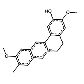 COc1cc2cc3[n+](cc2cc1C)CCc1cc(OC)c(O)cc1-3